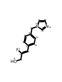 OCC(F)=Cc1ccc(Cn2ccnc2)cc1